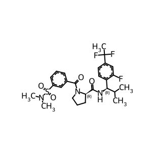 CC(C)[C@@H](NC(=O)[C@H]1CCCN1C(=O)c1cccc(S(=O)(=O)N(C)C)c1)c1ccc(C(C)(F)F)cc1F